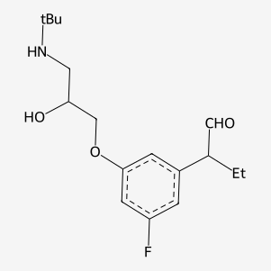 CCC(C=O)c1cc(F)cc(OCC(O)CNC(C)(C)C)c1